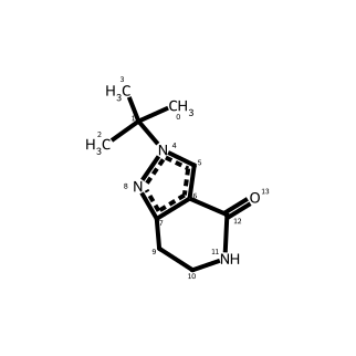 CC(C)(C)n1cc2c(n1)CCNC2=O